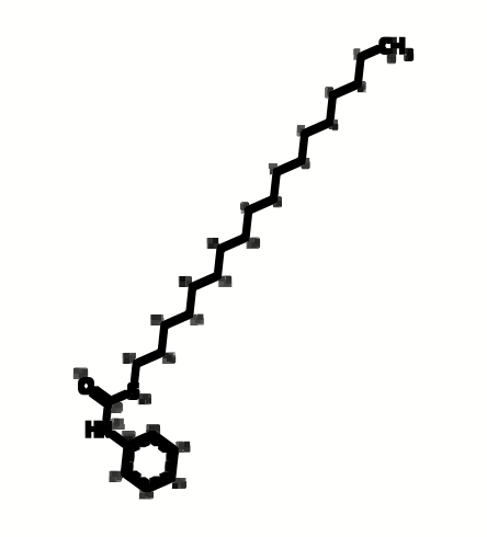 CCCCCCCCCCCCCCCCCCSC(=O)Nc1ccccc1